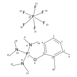 Cc1cccc(O[P+](N(C)C)(N(C)C)N(C)C)c1C.F[P-](F)(F)(F)(F)F